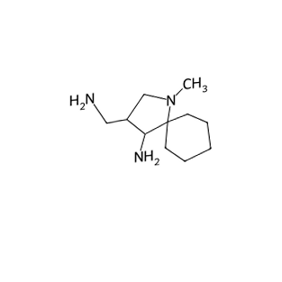 CN1CC(CN)C(N)C12CCCCC2